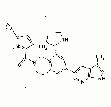 Cc1cn(C2CC2)nc1C(=O)N1CCc2cc(-c3cnc4[nH]cc(C)c4c3)cc([C@@H]3CCCN3)c2C1